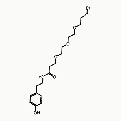 CCOCCOCCOCCOCCC(=O)NCCc1ccc(O)cc1